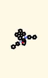 c1ccc(-c2ccc(N(c3ccccc3)c3ccc4c(c3)-c3c(N(c5ccccc5)c5ccc(-c6ccccc6)cc5)cccc3C43c4ccccc4-c4ccccc43)cc2)cc1